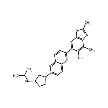 Cc1nc2c(C)c(O)c(-c3ccc4nc(N5CCC(NC(C)C)C5)ccc4n3)cc2o1